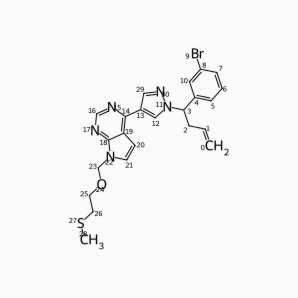 C=CCC(c1cccc(Br)c1)n1cc(-c2ncnc3c2ccn3COCCSC)cn1